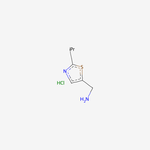 CC(C)c1ncc(CN)s1.Cl